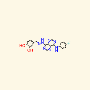 Oc1ccc(C=NNc2ncnc3c(Nc4ccc(F)cc4)ncnc23)cc1O